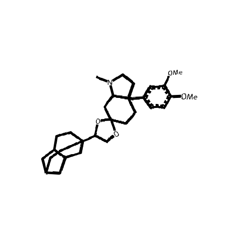 COc1ccc(C23CCN(C)C2CC2(CC3)OCC(C34CCC5CC(CC5C3)C4)O2)cc1OC